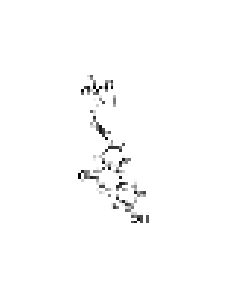 CS(=O)(=O)NCC#Cc1ccc2c(c1)c(=O)oc1cc(O)ccc12